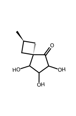 C[C@H]1C[C@]2(C1)C(=O)C(O)C(O)C2O